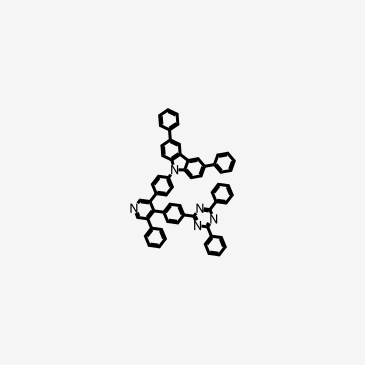 c1ccc(-c2ccc3c(c2)c2cc(-c4ccccc4)ccc2n3-c2ccc(-c3cncc(-c4ccccc4)c3-c3ccc(-c4nc(-c5ccccc5)nc(-c5ccccc5)n4)cc3)cc2)cc1